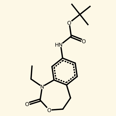 CCN1C(=O)OCCc2ccc(NC(=O)OC(C)(C)C)cc21